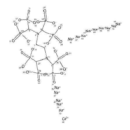 O=P([O-])([O-])C(N(CCN(C(P(=O)([O-])[O-])P(=O)([O-])[O-])C(P(=O)([O-])[O-])P(=O)([O-])[O-])C(P(=O)([O-])[O-])P(=O)([O-])[O-])P(=O)([O-])[O-].[Ca+2].[Na+].[Na+].[Na+].[Na+].[Na+].[Na+].[Na+].[Na+].[Na+].[Na+].[Na+].[Na+].[Na+].[Na+]